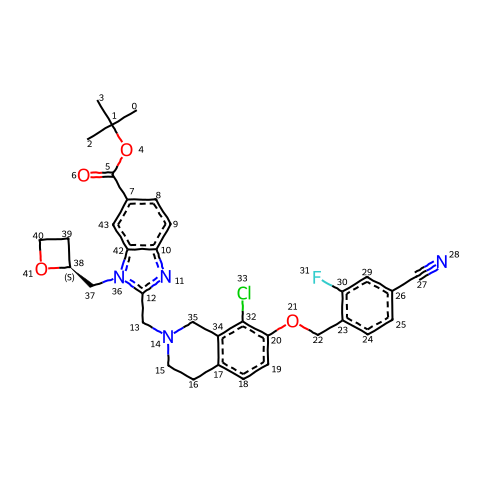 CC(C)(C)OC(=O)c1ccc2nc(CN3CCc4ccc(OCc5ccc(C#N)cc5F)c(Cl)c4C3)n(C[C@@H]3CCO3)c2c1